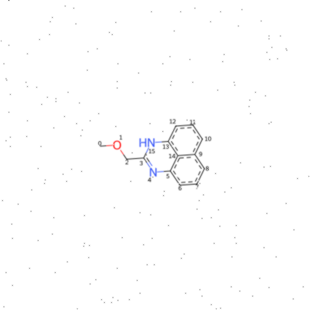 COCC1=Nc2cccc3cccc(c23)N1